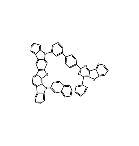 c1ccc(-c2nc(-c3ccc(-c4cccc(-n5c6ccccc6c6cc7c(cc65)sc5c7ccc6c7ccccc7n(-c7ccc8ccccc8c7)c65)c4)cc3)nc3c2sc2ccccc23)cc1